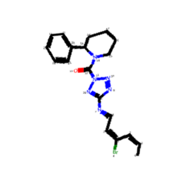 C\C=C/C(Br)=C\C=N\c1nnn(C(=O)N2CCCCC2c2ccccc2)n1